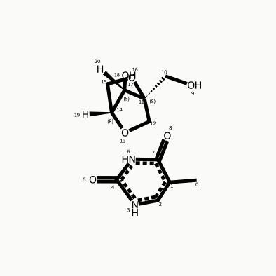 Cc1c[nH]c(=O)[nH]c1=O.OC[C@@]12CO[C@H](CO1)[C@@H]2O